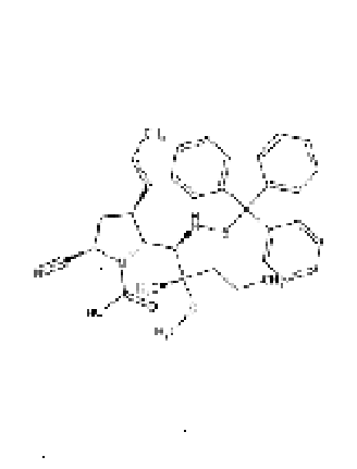 CC=C[C@@H]1C[C@H](C#N)N(C(=O)O)[C@H]1[C@@H](NSC(c1ccccc1)(c1ccccc1)c1ccccc1)[C@](C)(CCC)OC